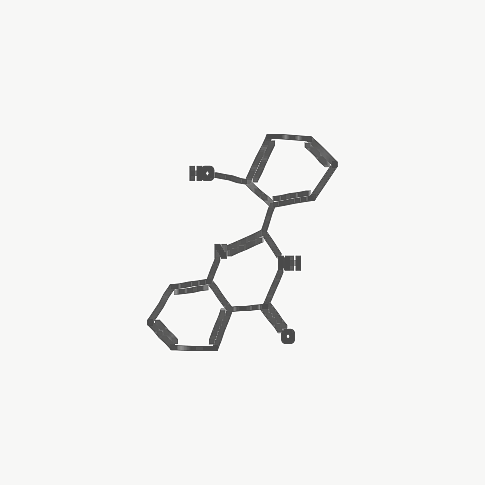 O=c1[nH]c(-c2ccccc2O)nc2ccccc12